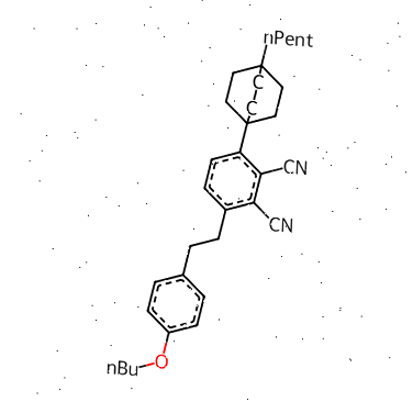 CCCCCC12CCC(c3ccc(CCc4ccc(OCCCC)cc4)c(C#N)c3C#N)(CC1)CC2